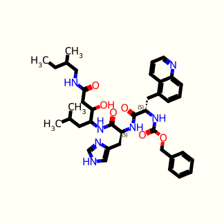 CCC(C)CNC(=O)CC(O)C(CC(C)C)NC(=O)[C@H](Cc1c[nH]cn1)NC(=O)[C@H](Cc1cccc2ncccc12)NC(=O)OCc1ccccc1